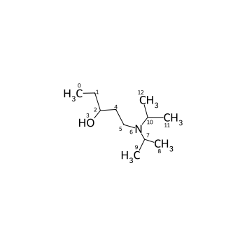 CCC(O)CCN(C(C)C)C(C)C